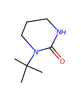 CC(C)(C)N1CCCNC1=O